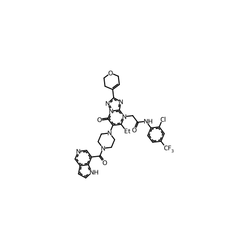 CCc1c(N2CCN(C(=O)c3cncc4cc[nH]c34)CC2)c(=O)n2nc(C3=CCOCC3)nc2n1CC(=O)Nc1ccc(C(F)(F)F)cc1Cl